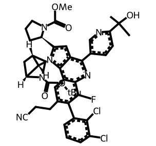 COC(=O)N1CCC[C@@H]1c1cc2c(-c3ccc(C(C)(C)O)nc3)nc3c(F)c(-c4cccc(Cl)c4Cl)c(CCC#N)cc3c2n1[C@H]1[C@@H]2C[C@H]1N(C(=O)OC(C)(C)C)C2